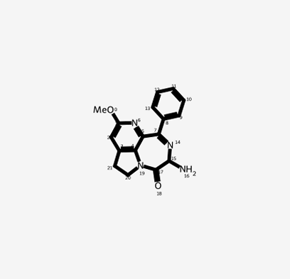 COc1cc2c3c(n1)C(c1ccccc1)=NC(N)C(=O)N3CC2